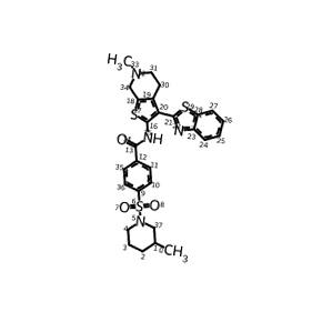 CC1CCCN(S(=O)(=O)c2ccc(C(=O)Nc3sc4c(c3-c3nc5ccccc5s3)CCN(C)C4)cc2)C1